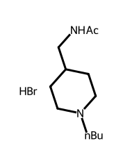 Br.CCCCN1CCC(CNC(C)=O)CC1